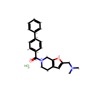 CN(C)Cc1cc2c(o1)CN(C(=O)c1ccc(-c3ccccc3)cc1)CC2.Cl